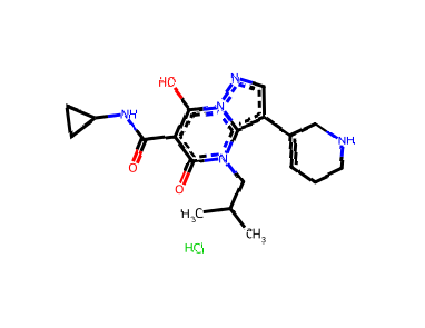 CC(C)Cn1c(=O)c(C(=O)NC2CC2)c(O)n2ncc(C3=CCCNC3)c12.Cl